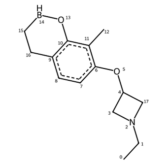 CCN1CC(Oc2ccc3c(c2C)OBCC3)C1